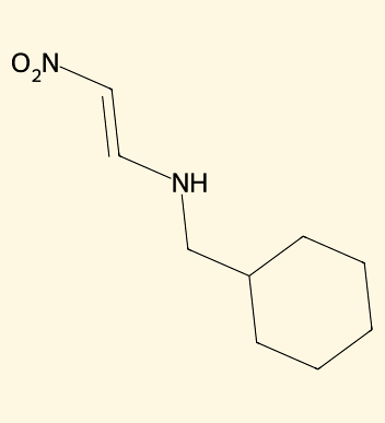 O=[N+]([O-])C=CNCC1CCCCC1